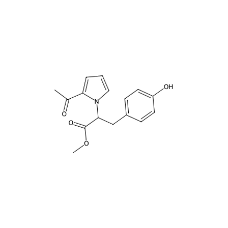 COC(=O)C(Cc1ccc(O)cc1)n1cccc1C(C)=O